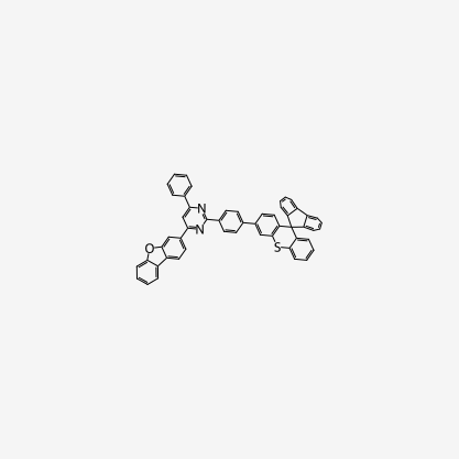 c1ccc(-c2cc(-c3ccc4c(c3)oc3ccccc34)nc(-c3ccc(-c4ccc5c(c4)Sc4ccccc4C54c5ccccc5-c5ccccc54)cc3)n2)cc1